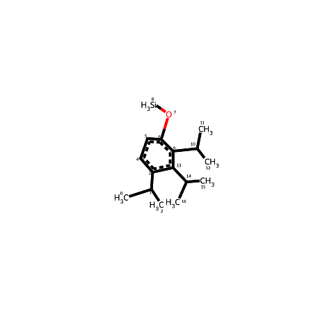 CC(C)c1ccc(O[SiH3])c(C(C)C)c1C(C)C